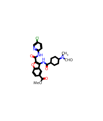 COC(=O)c1ccc2oc(C(=O)Nc3ccc(Cl)cn3)c(NC(=O)C3CCC(N(C)C=O)CC3)c2c1